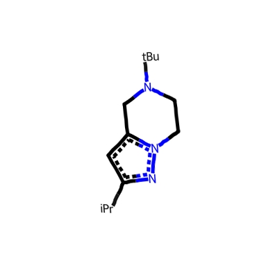 CC(C)c1cc2n(n1)CCN(C(C)(C)C)C2